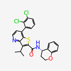 CC(C)c1c(C(=O)N[C@H]2CCOc3ccccc32)sc2c(-c3cccc(Cl)c3Cl)ccnc12